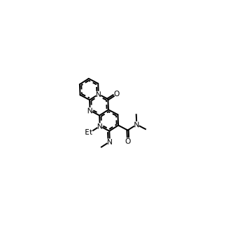 CCn1c(=NC)c(C(=O)N(C)C)cc2c(=O)n3ccccc3nc21